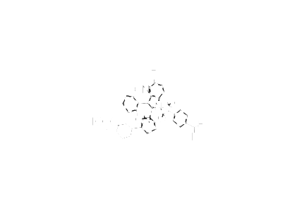 N#Cc1cccc(C#N)c1-c1c(-c2cccc(C3CCCC(C(=O)O)C3)c2)n(S(=O)(=O)c2ccc(C(F)F)cc2)c2ccc(F)cc12